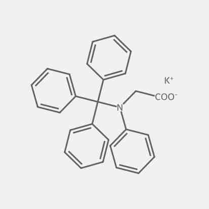 O=C([O-])CN(c1ccccc1)C(c1ccccc1)(c1ccccc1)c1ccccc1.[K+]